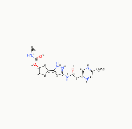 COc1cnc(CC(=O)Nc2cc([C@H]3CC[C@@H](OC(=O)NC(C)(C)C)C3)[nH]n2)cn1